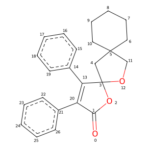 O=C1OC2(CC3(CCCCC3)CO2)C(c2ccccc2)=C1c1ccccc1